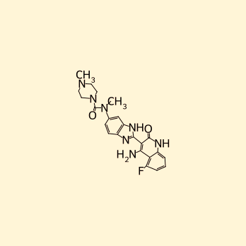 CN1CCN(C(=O)N(C)c2ccc3nc(-c4c(N)c5c(F)cccc5[nH]c4=O)[nH]c3c2)CC1